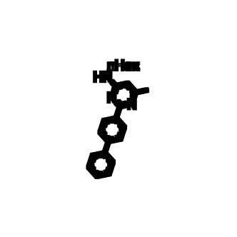 CCCCCCNc1cc(C)nc(-c2ccc(-c3ccccc3)cc2)n1